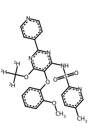 [2H]C([2H])([2H])Oc1nc(-c2ccncc2)nc(NS(=O)(=O)c2ccc(C)cn2)c1Oc1ccccc1OC